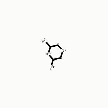 CC(C)C1COCC(C(C)C)P1